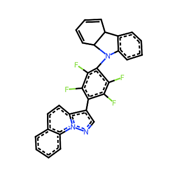 Fc1c(F)c(N2c3ccccc3C3C=CC=CC32)c(F)c(F)c1-c1cnn2c1ccc1ccccc12